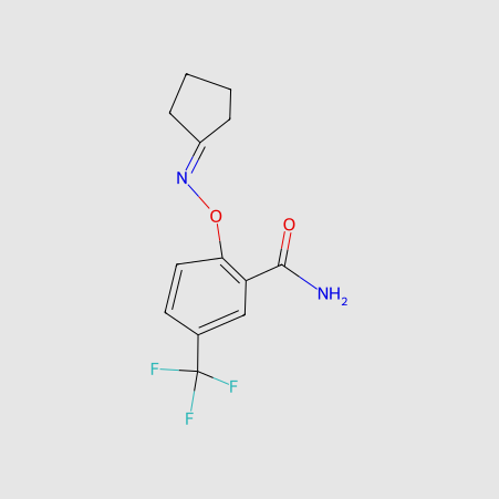 NC(=O)c1cc(C(F)(F)F)ccc1ON=C1CCCC1